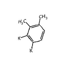 Cc1cc[c]([K])[c]([K])c1C